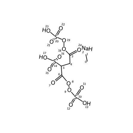 CC.O=C(CC(C(=O)OOS(=O)(=O)O)S(=O)(=O)O)OOS(=O)(=O)O.[NaH]